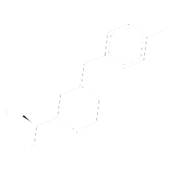 C[C@H](O)C1CN(Cc2ccc(F)cc2)CCN1